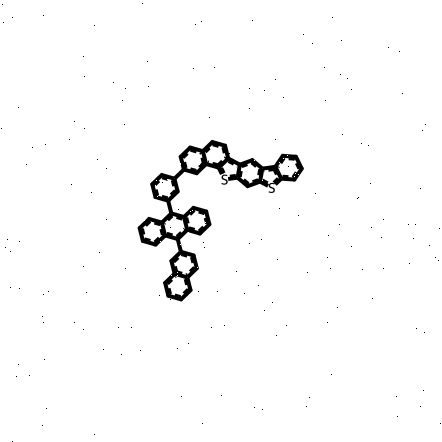 c1cc(-c2ccc3ccc4c5cc6c(cc5sc4c3c2)sc2ccccc26)cc(-c2c3ccccc3c(-c3ccc4ccccc4c3)c3ccccc23)c1